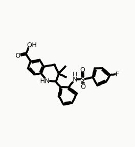 CC1(C)Cc2cc(C(=O)O)ccc2NC1c1ccccc1NS(=O)(=O)c1ccc(F)cc1